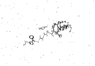 CCOC(=O)CCCCCCCc1nnc(N)n(N)c1=O.Cl